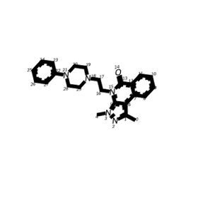 Cc1nn(C)c2c1c1ccccc1c(=O)n2CCN1CCN(c2ccccc2)CC1